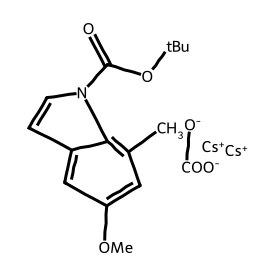 COc1cc(C)c2c(ccn2C(=O)OC(C)(C)C)c1.O=C([O-])[O-].[Cs+].[Cs+]